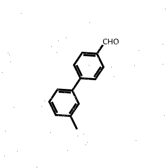 Cc1cccc(-c2ccc(C=O)cc2)c1